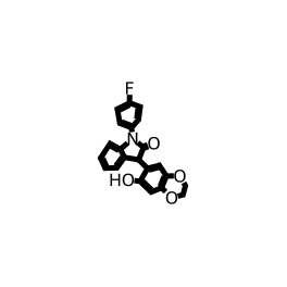 O=C1C(c2cc3c(cc2O)OCCO3)c2ccccc2N1c1ccc(F)cc1